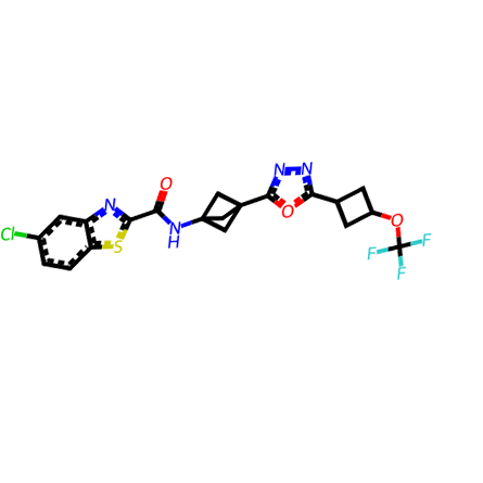 O=C(NC12CC(c3nnc(C4CC(OC(F)(F)F)C4)o3)(C1)C2)c1nc2cc(Cl)ccc2s1